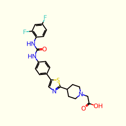 O=C(O)CN1CCC(c2ncc(-c3ccc(NC(=O)Nc4ccc(F)cc4F)cc3)s2)CC1